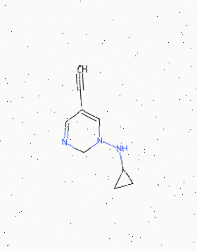 C#CC1=CN(NC2CC2)CN=C1